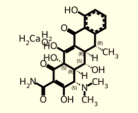 C[C@H]1c2cccc(O)c2C(=O)C2=C(O)[C@]3(O)C(=O)C(C(N)=O)=C(O)[C@@H](N(C)C)[C@@H]3[C@@H](O)[C@@H]21.O.[CaH2]